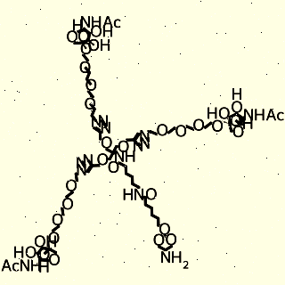 CC(=O)N[C@H]1[C@@H]2OC[C@](COCCOCCOCCOCCn3cc(COCC(COCc4cn(CCOCCOCCOCCOC[C@@]56CO[C@H](O5)[C@H](NC(C)=O)[C@@H](O)[C@H]6O)nn4)(COCc4cn(CCOCCOCCOCCO[C@@]56CO[C@@H](O5)[C@H](NC(C)=O)[C@@H](O)[C@H]6O)nn4)NC(=O)CCCCCNC(=O)CCCCCOC4OCC(N)CO4)nn3)(O2)[C@H](O)[C@@H]1O